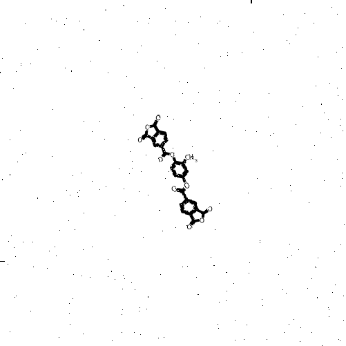 Cc1cc(OC(=O)c2ccc3c(c2)C(=O)OC3=O)ccc1OC(=O)c1ccc2c(c1)C(=O)OC2=O